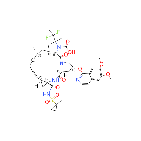 COc1cc2ccnc(O[C@@H]3C[C@H]4C(=O)N[C@]5(C(=O)NS(=O)(=O)C6(C)CC6)C[C@H]5C=CCC[C@H](C)C[C@@H](C)[C@H](N(C(=O)O)C(C)(C)C(C)(F)F)C(=O)N4C3)c2cc1OC